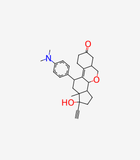 C#CC1(O)CCC2C3OCC4CC(=O)CCC4=C3C(c3ccc(N(C)C)cc3)CC21C